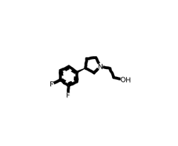 OCCN1CC[C@H](c2ccc(F)c(F)c2)C1